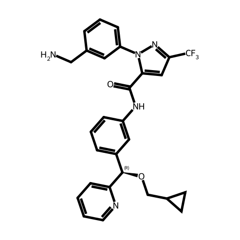 NCc1cccc(-n2nc(C(F)(F)F)cc2C(=O)Nc2cccc([C@@H](OCC3CC3)c3ccccn3)c2)c1